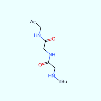 CCCCNCC(=O)NCC(=O)NCC(C)=O